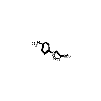 CCCCc1cn(-c2ccc([N+](=O)[O-])cc2)nn1